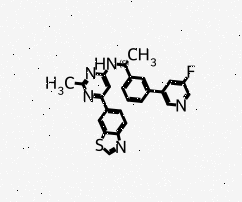 Cc1nc(N[C@@H](C)c2cccc(-c3cncc(F)c3)c2)cc(-c2ccc3ncsc3c2)n1